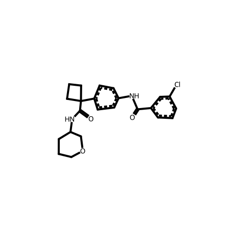 O=C(Nc1ccc(C2(C(=O)NC3CCCOC3)CCC2)cc1)c1cccc(Cl)c1